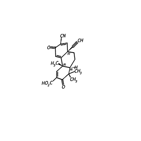 C#C[C@]12C=C(C#N)C(=O)C=C1[C@@]1(C)C=C(C(=O)O)C(=O)C(C)(C)[C@@H]1CC2